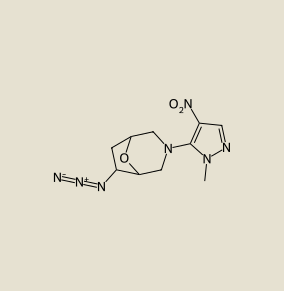 Cn1ncc([N+](=O)[O-])c1N1CC2CC(N=[N+]=[N-])C(C1)O2